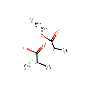 CCC(=O)[O-].CCC(=O)[O-].[Ca+2].[Cl-].[Cl-].[Na+].[Na+]